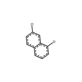 [O]c1cccc2ccc(Cl)cc12